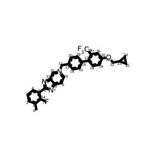 Cc1cccc(-c2nc3ccn(Cc4ccc(-c5ccc(OCC6CC6)cc5C(F)(F)F)cc4)cc-3n2)c1F